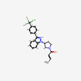 C/C=C/C(=O)N1CCC(n2nc(-c3ccc(C(F)(F)F)cc3)c3ccccc32)C1